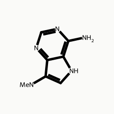 CNc1c[nH]c2c(N)ncnc12